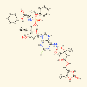 C#C[C@]1(COP(=O)(N[C@@H](C)C(=O)OC2CCCCC2)Oc2ccccc2)O[C@@H](n2cnc3c(NC(=O)OC(C)(C)CC(=O)OCc4oc(=O)oc4C)nc(F)nc32)C[C@@H]1O